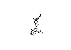 C=C(C)C1=CC(/C(=C/C)CC2C=CC(NCC/C=C\C)CC2)=C[C@H](N)C1N